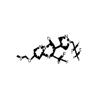 CSCOc1cnn2c(=O)c(-c3cnn(CC(F)(F)C(F)(F)F)c3)c(C(F)(F)F)nc2c1